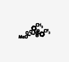 COC(=O)C[C@H]1CN(S(=O)(=O)c2cccc(C(F)(F)F)c2)c2cc(C)ccc2O1